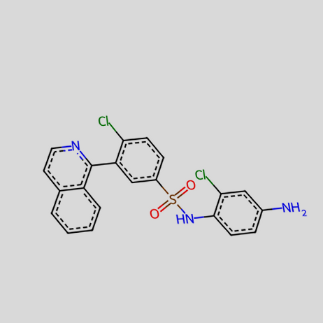 Nc1ccc(NS(=O)(=O)c2ccc(Cl)c(-c3nccc4ccccc34)c2)c(Cl)c1